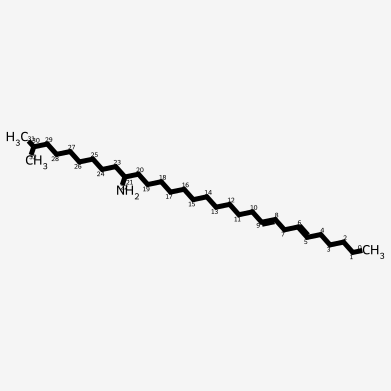 CCCCCC=CCC=CCCCCCCCCCCCC(N)CCCCCCCC(C)C